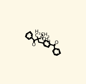 CN(C)C(C)(Cc1ccc(C(=O)c2ccccc2)cc1)C(=O)c1ccccc1